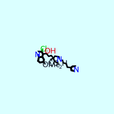 COc1ccc2ncc(Cl)c([C@H](O)CCC3(CC(=O)O)CCN(CCCCc4ccncc4)CC3)c2c1